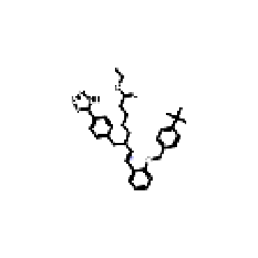 CCOC(=O)CCCCC(/C=C/c1ccccc1OCc1ccc(C(C)(C)C)cc1)Cc1ccc(-c2nnn[nH]2)cc1